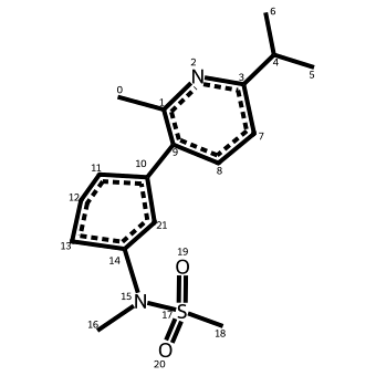 Cc1nc(C(C)C)ccc1-c1cccc(N(C)S(C)(=O)=O)c1